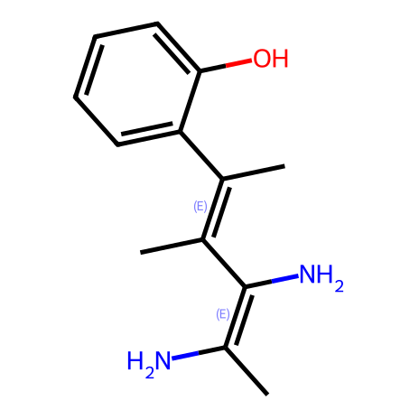 C/C(N)=C(N)/C(C)=C(\C)c1ccccc1O